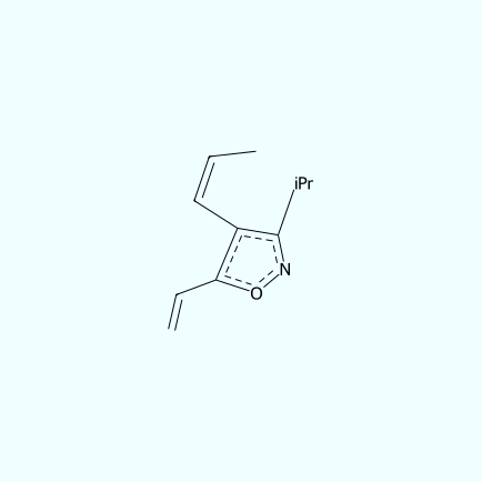 C=Cc1onc(C(C)C)c1/C=C\C